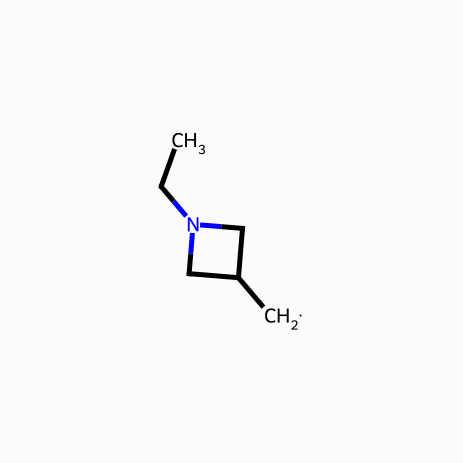 [CH2]C1CN(CC)C1